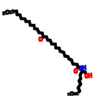 CCCCCCCCC=CCCCCCCCCCCCC(=O)CCCCCCCCCCCCCCCC(=O)NC(CO)CCCCCCCCCCCCCCCC